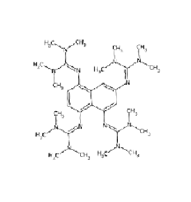 CN(C)C(=Nc1cc(N=C(N(C)C)N(C)C)c2c(N=C(N(C)C)N(C)C)ccc(N=C(N(C)C)N(C)C)c2c1)N(C)C